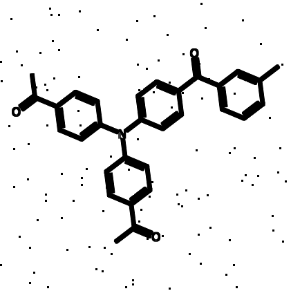 CC(=O)c1ccc(N(c2ccc(C(C)=O)cc2)c2ccc(C(=O)c3cccc(C)c3)cc2)cc1